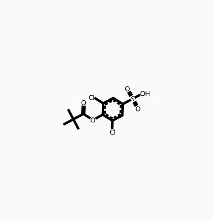 CC(C)(C)C(=O)Oc1c(Cl)cc(S(=O)(=O)O)cc1Cl